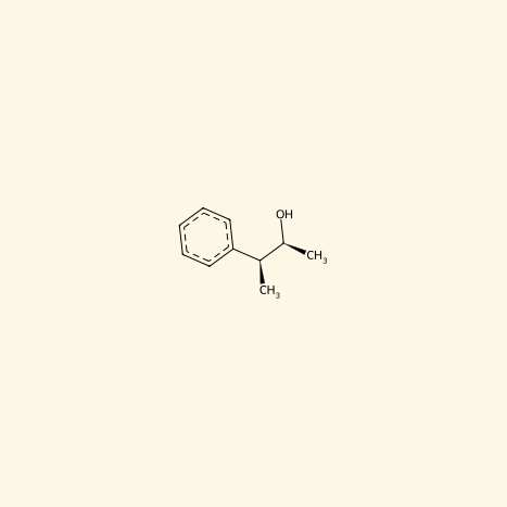 C[C@H](O)[C@@H](C)c1ccccc1